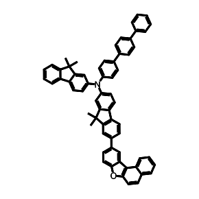 CC1(C)c2ccccc2-c2ccc(N(c3ccc(-c4ccc(-c5ccccc5)cc4)cc3)c3ccc4c(c3)C(C)(C)c3cc(-c5ccc6oc7ccc8ccccc8c7c6c5)ccc3-4)cc21